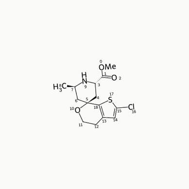 COC(=O)[C@@H]1C[C@]2(C[C@@H](C)N1)OCCc1cc(Cl)sc12